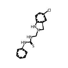 S=C(NCN1Cc2cc(Cl)ccc2N1)Nc1ccccc1